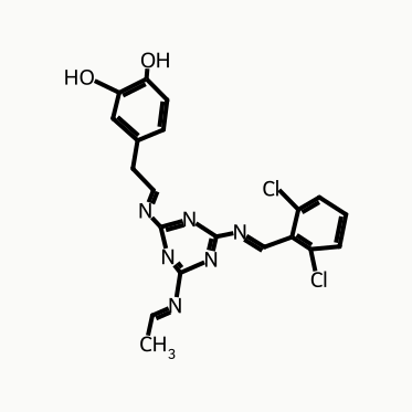 CC=Nc1nc(N=CCc2ccc(O)c(O)c2)nc(N=Cc2c(Cl)cccc2Cl)n1